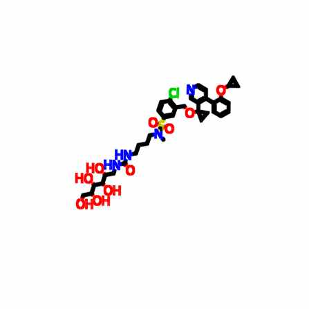 CN(CCCCNC(=O)NCC(O)C(O)C(O)C(O)CO)S(=O)(=O)c1ccc(Cl)c(COC2(c3cnccc3-c3ccccc3OC3CC3)CC2)c1